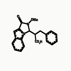 CON1C(=O)c2cc3ccccc3n2C1C(Cc1ccccc1)C(=O)O